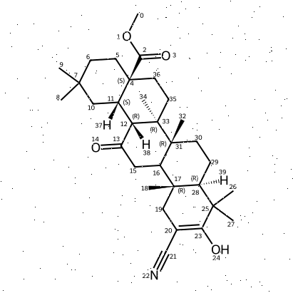 COC(=O)[C@]12CCC(C)(C)C[C@H]1[C@H]1C(=O)CC3[C@@]4(C)CC(C#N)=C(O)C(C)(C)[C@@H]4CC[C@@]3(C)[C@]1(C)CC2